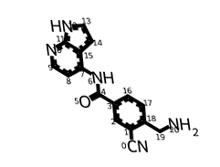 N#Cc1cc(C(=O)Nc2ccnc3[nH]ccc23)ccc1CN